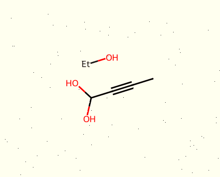 CC#CC(O)O.CCO